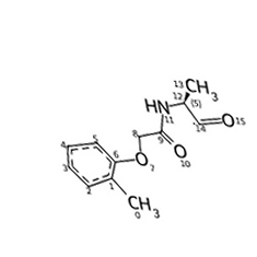 Cc1ccccc1OCC(=O)N[C@@H](C)[C]=O